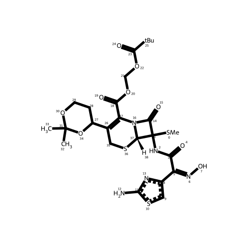 CSC1(NC(=O)/C(=N\O)c2csc(N)n2)C(=O)N2C(C(=O)OCOC(=O)C(C)(C)C)=C(C3CCOC(C)(C)O3)CS[C@H]21